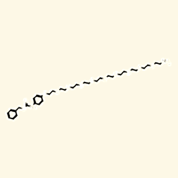 NCCOCCOCCOCCOCCOCCOCCOCCOCCOCCOc1ccc(NC(=O)OCc2ccccc2)cc1